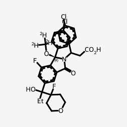 [2H]C([2H])([2H])O[C@]1(c2ccc(Cl)cc2)c2c(F)cc(C(O)(CC)C3(F)CCOCC3)cc2C(=O)N1C(CC(=O)O)c1ccc(Cl)cc1